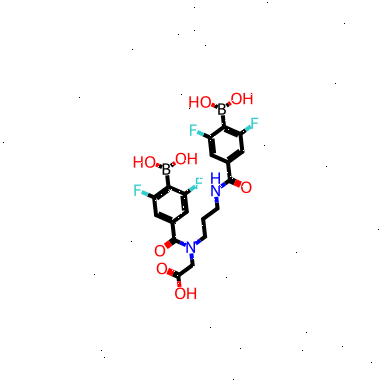 O=C(O)CN(CCCNC(=O)c1cc(F)c(B(O)O)c(F)c1)C(=O)c1cc(F)c(B(O)O)c(F)c1